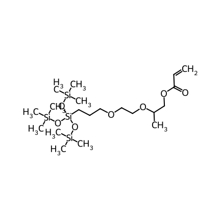 C=CC(=O)OCC(C)OCCOCCC[Si](O[Si](C)(C)C)(O[Si](C)(C)C)O[Si](C)(C)C